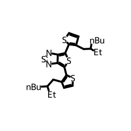 CCCCC(CC)Cc1ccsc1-c1sc(-c2sccc2CC(CC)CCCC)c2c1N=S=N2